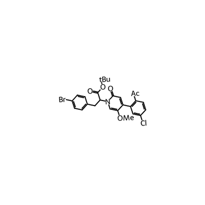 COc1cn(C(Cc2ccc(Br)cc2)C(=O)OC(C)(C)C)c(=O)cc1-c1cc(Cl)ccc1C(C)=O